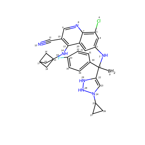 BC(Nc1cc(Cl)c2ncc(C#N)c(NC34CC(C3)C4)c2c1)(C1=CN(C2CC2)NN1)c1ccc(F)cc1